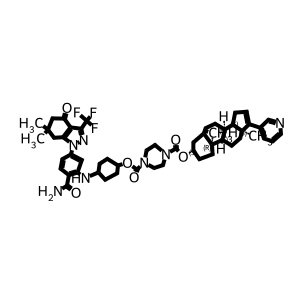 CC1(C)CC(=O)c2c(C(F)(F)F)nn(-c3ccc(C(N)=O)c(NC4CCC(OC(=O)N5CCN(C(=O)O[C@H]6CC[C@@]7(C)C(=CC[C@@H]8[C@@H]7CC[C@]7(C)C(c9cccnc9)=CC[C@@H]87)C6)CC5)CC4)c3)c2C1